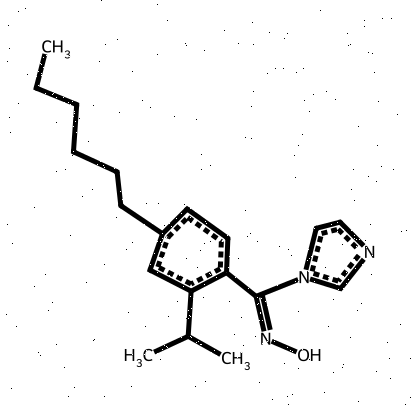 CCCCCCc1ccc(C(=NO)n2ccnc2)c(C(C)C)c1